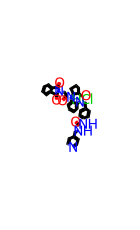 Cl.O=C(NCc1ccncc1)Nc1ccc(CN2C(=O)C3CCCC3N(C(=O)CN3C(=O)c4ccccc4C3=O)c3ccccc32)cc1